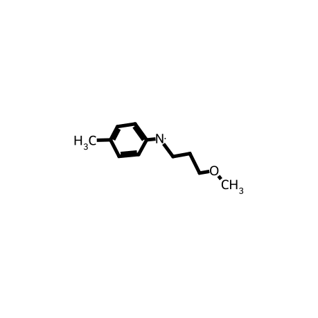 COCCC[N]c1ccc(C)cc1